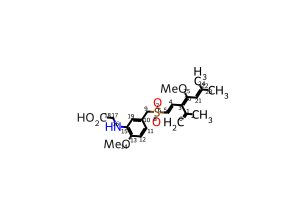 C=C(C)C(/C=C/S(=O)(=O)Cc1ccc(OC)c(NCC(=O)O)c1)=C(\C=C(C)C)OC